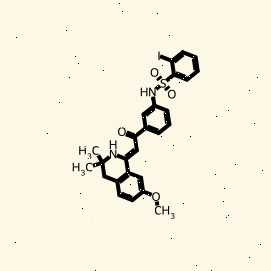 COc1ccc2c(c1)C(=CC(=O)c1cccc(NS(=O)(=O)c3ccccc3I)c1)NC(C)(C)C2